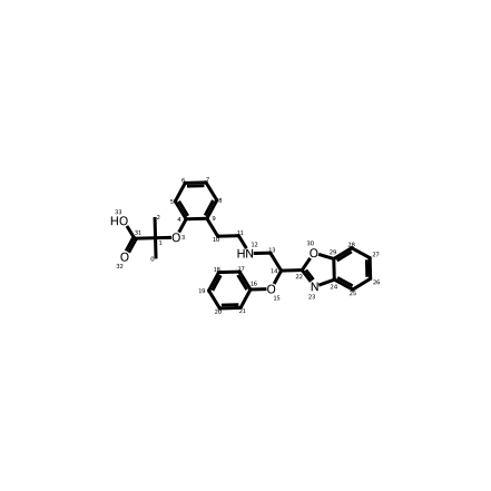 CC(C)(Oc1ccccc1CCNCC(Oc1ccccc1)c1nc2ccccc2o1)C(=O)O